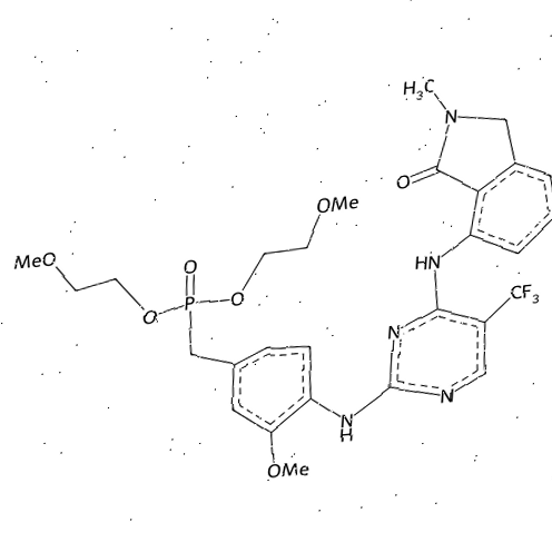 COCCOP(=O)(Cc1ccc(Nc2ncc(C(F)(F)F)c(Nc3cccc4c3C(=O)N(C)C4)n2)c(OC)c1)OCCOC